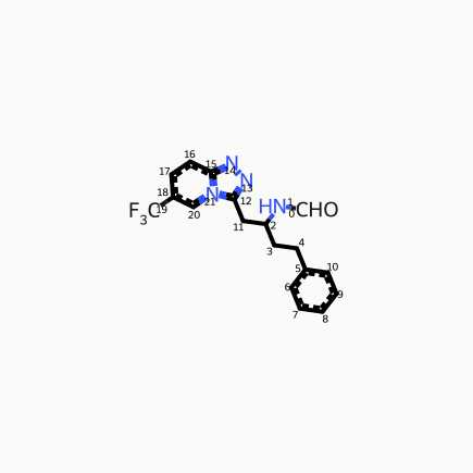 O=CNC(CCc1ccccc1)Cc1nnc2ccc(C(F)(F)F)cn12